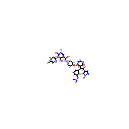 CN(C)Cc1cccc(-c2c(-c3cnn(C)c3)oc3ncnc(Oc4ccc(NC(=O)c5cn(C)c(=O)n(-c6ccc(F)cn6)c5=O)cc4)c23)c1